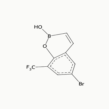 OB1C=Cc2cc(Br)cc(C(F)(F)F)c2O1